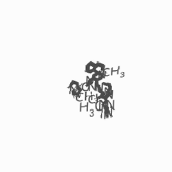 C[C@H]1CN2CCC[C@@]2(COc2nc3c(c(N4CCCn5nc(-c6nnnn6C)c(Cl)c5C4)n2)CN(C)[C@@]2(CCCc4ccccc42)C3)C1